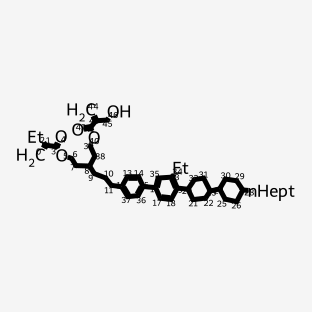 C=C(CC)C(=O)OCCC(CCCc1ccc(-c2ccc(C3CCC(C4CCC(CCCCCCC)CC4)CC3)c(CC)c2)cc1)CCOC(=O)C(=C)CO